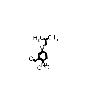 CC(C)COc1ccc([N+](=O)[O-])c(C=O)c1